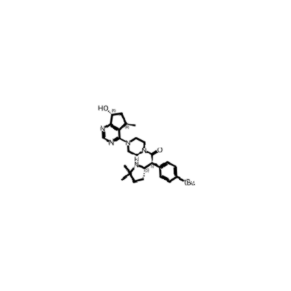 C[C@@H]1C[C@@H](O)c2ncnc(N3CCN(C(=O)[C@@H](c4ccc(C(C)(C)C)cc4)[C@@H]4CCC(C)(C)N4)CC3)c21